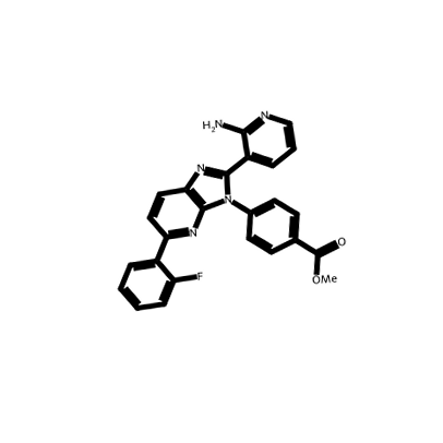 COC(=O)c1ccc(-n2c(-c3cccnc3N)nc3ccc(-c4ccccc4F)nc32)cc1